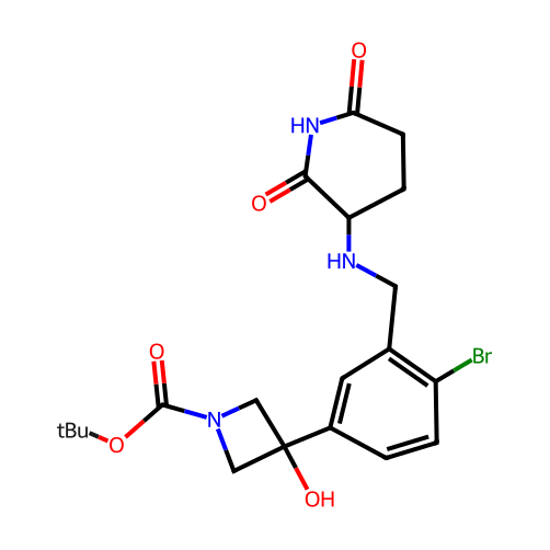 CC(C)(C)OC(=O)N1CC(O)(c2ccc(Br)c(CNC3CCC(=O)NC3=O)c2)C1